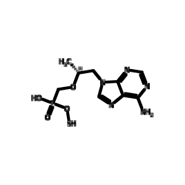 C[C@H](Cn1cnc2c(N)ncnc21)OCP(=O)(O)OS